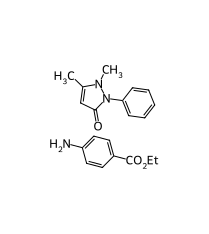 CCOC(=O)c1ccc(N)cc1.Cc1cc(=O)n(-c2ccccc2)n1C